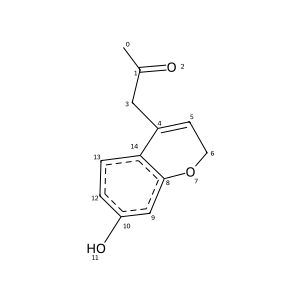 CC(=O)CC1=CCOc2cc(O)ccc21